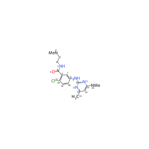 CNCCNC(=O)c1cc(Nc2nc(C)cc(NC)n2)ccc1Cl